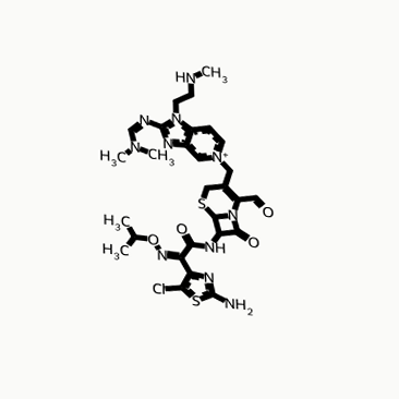 CNCCn1c(/N=C\N(C)C)nc2c[n+](CC3=C(C=O)N4C(=O)C(NC(=O)/C(=N\OC(C)C)c5nc(N)sc5Cl)C4SC3)ccc21